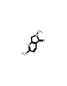 CN1Cc2nc(N)ccc2C1=O